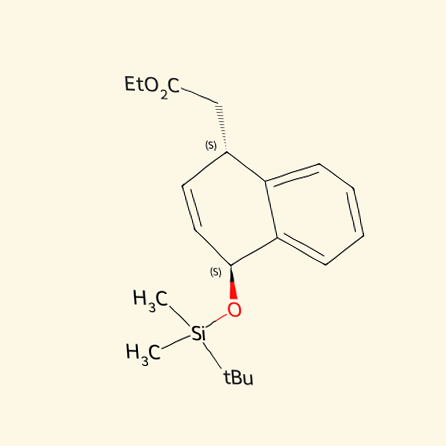 CCOC(=O)C[C@H]1C=C[C@H](O[Si](C)(C)C(C)(C)C)c2ccccc21